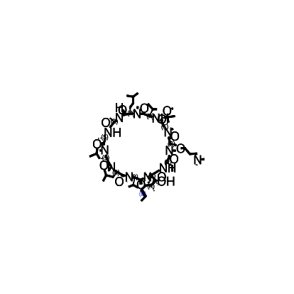 C/C=C/C[C@@H](C)[C@@H](O)[C@H]1C(=O)N[C@H](CC)C(=O)N(C)[C@H](COCCCN(C)C)C(=O)N(C)[C@@H](CC(C)(C)OC)C(=O)N[C@H](C(C)C)C(=O)N(C)[C@H](CCC(C)C)C(=O)N[C@H](C)C(=O)N[C@@H](C)C(=O)N(C)[C@@H](CC(C)C)C(=O)N(C)[C@H](CC(C)C)C(=O)N(C)[C@H](C(C)C)C(=O)N1C